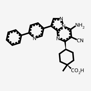 C[C@]1(C(=O)O)CC[C@@H](c2nc3c(-c4ccc(-c5ccccc5)nc4)cnn3c(N)c2C#N)CC1